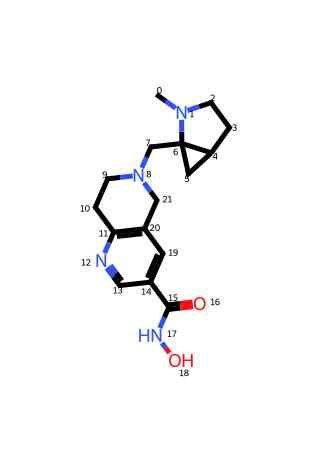 CN1CCC2CC21CN1CCc2ncc(C(=O)NO)cc2C1